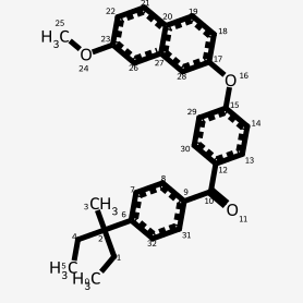 CCC(C)(CC)c1ccc(C(=O)c2ccc(Oc3ccc4ccc(OC)cc4c3)cc2)cc1